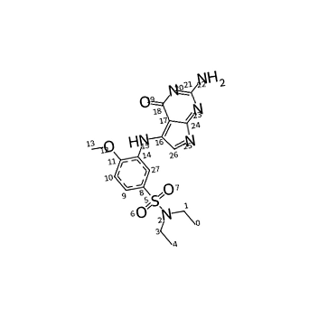 CCN(CC)S(=O)(=O)c1ccc(OC)c(NC2=C3C(=O)N=C(N)N=C3N=C2)c1